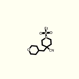 CCS(=O)(=O)N1CCC(C#N)(CC2CCOCC2)CC1